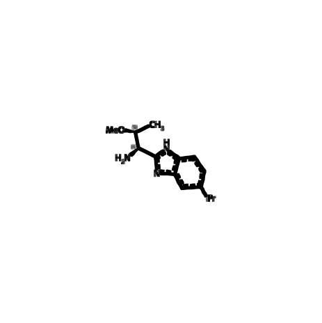 CO[C@@H](C)[C@H](N)c1nc2cc(C(C)C)ccc2[nH]1